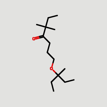 CCC(C)(CC)OCCCC(=O)C(C)(C)CC